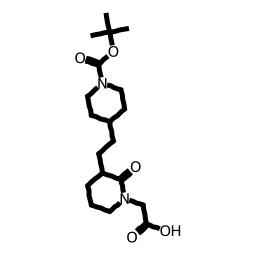 CC(C)(C)OC(=O)N1CCC(CCC2CCCN(CC(=O)O)C2=O)CC1